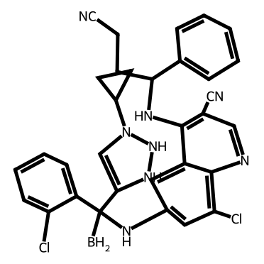 BC(Nc1cc(Cl)c2ncc(C#N)c(NC(CCC#N)c3ccccc3)c2c1)(C1=CN(C2CC2)NN1)c1ccccc1Cl